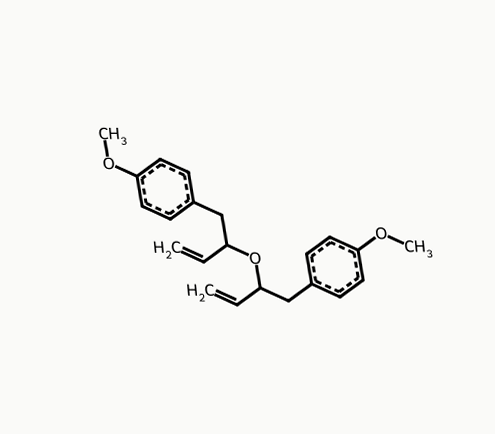 C=CC(Cc1ccc(OC)cc1)OC(C=C)Cc1ccc(OC)cc1